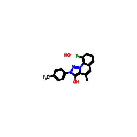 Cc1cc2cccc(F)c2[n+]2nn(-c3ccc(C(F)(F)F)cc3)c(O)c12.[OH-]